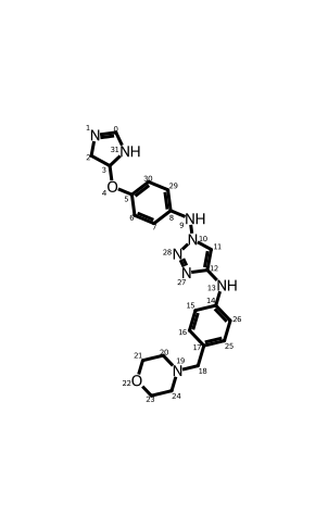 C1=NCC(Oc2ccc(Nn3cc(Nc4ccc(CN5CCOCC5)cc4)nn3)cc2)N1